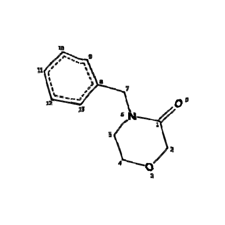 O=C1COCCN1Cc1ccccc1